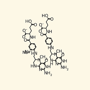 CN1c2c(nc(N)[nH]c2=O)NCC1CNc1ccc(C(=O)NC(CCC(=O)O)C(=O)[O-])cc1.CN1c2c(nc(N)[nH]c2=O)NCC1CNc1ccc(C(=O)NC(CCC(=O)O)C(=O)[O-])cc1.[Na+].[Na+]